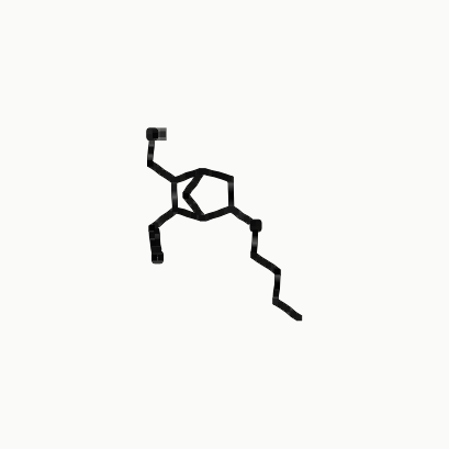 CCCCOC1CC2CC1C(C=O)C2CO